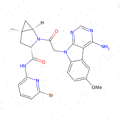 COc1ccc2c(c1)c1c(N)ncnc1n2CC(=O)N1[C@H](C(=O)Nc2cccc(Br)n2)C[C@@]2(C)C[C@@H]12